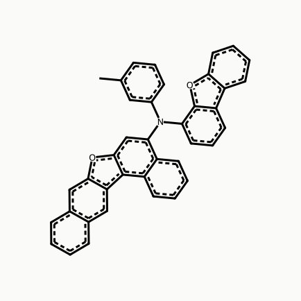 Cc1cccc(N(c2cc3oc4cc5ccccc5cc4c3c3ccccc23)c2cccc3c2oc2ccccc23)c1